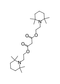 CC1(C)CCCC(C)(C)N1CCOC(=O)CC(=O)OCCN1C(C)(C)CCCC1(C)C